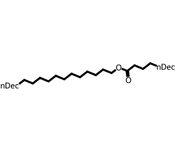 CCCCCCCCCCCCCCCCCCCCCCOC(=O)CCCCCCCCCCCCC